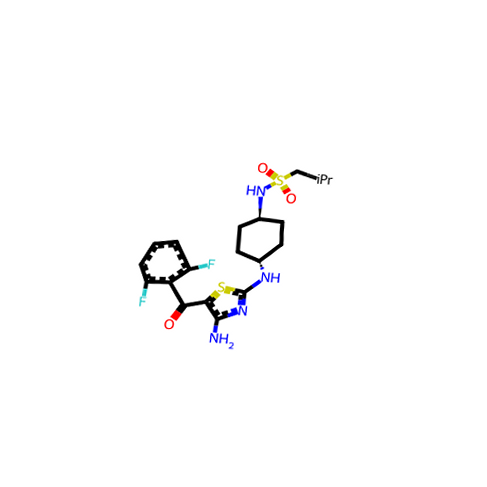 CC(C)CS(=O)(=O)N[C@H]1CC[C@H](Nc2nc(N)c(C(=O)c3c(F)cccc3F)s2)CC1